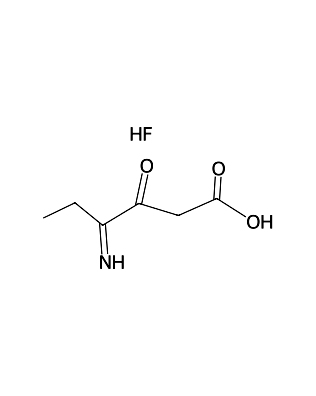 CCC(=N)C(=O)CC(=O)O.F